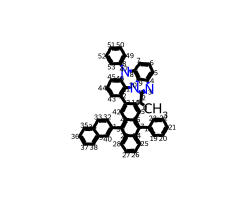 CCc1nc2cccc3c2n1-c1c(-c2ccc4c(-c5ccccc5)c5ccccc5c(-c5ccc6ccccc6c5)c4c2)cccc1N3c1ccccc1